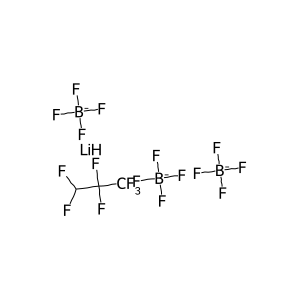 FC(F)C(F)(F)C(F)(F)F.F[B-](F)(F)F.F[B-](F)(F)F.F[B-](F)(F)F.[LiH]